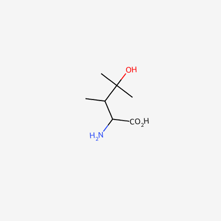 CC(C(N)C(=O)O)C(C)(C)O